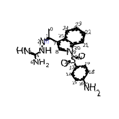 C/C(=N/NC(=N)N)c1cn(S(=O)(=O)c2ccc(N)cc2)c2ccccc12